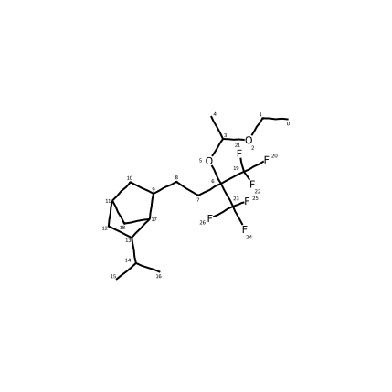 CCOC(C)OC(CCC1CC2CC(C(C)C)C1C2)(C(F)(F)F)C(F)(F)F